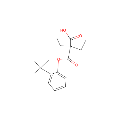 CCC(CC)(C(=O)O)C(=O)Oc1ccccc1C(C)(C)C